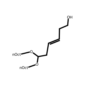 CCCCCCCCOC(C/C=C/CCO)OCCCCCCCC